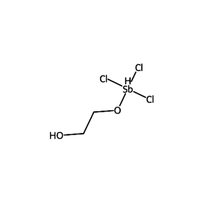 OCC[O][SbH]([Cl])([Cl])[Cl]